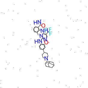 CNC(=O)c1cccc(C)c1Nc1nc(Nc2ccc(C3CCN(C4C5CC6CC(C5)CC4C6)CC3)cc2OC)ncc1C(F)(F)F